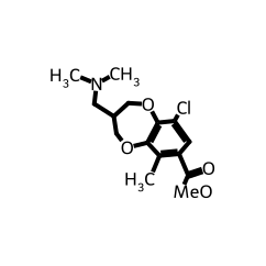 COC(=O)c1cc(Cl)c2c(c1C)OCC(CN(C)C)CO2